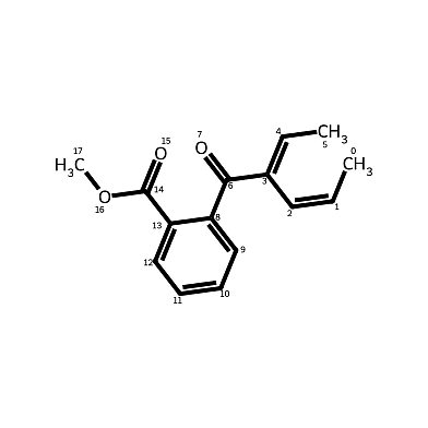 C/C=C\C(=C/C)C(=O)c1ccccc1C(=O)OC